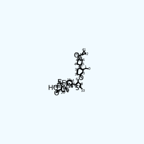 CCc1cc(OCc2cc(C)sc2-c2cccc(-n3ncc(C(=O)O)c3C(F)(F)F)n2)ccc1C1CCN(C(=O)C2CC2)CC1